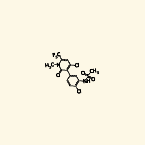 Cn1c(C(F)(F)F)cc(Cl)c(-c2ccc(Cl)c(NS(C)(=O)=O)c2)c1=O